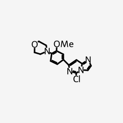 COc1cc(-c2cc3nccn3c(Cl)n2)ccc1N1CCOCC1